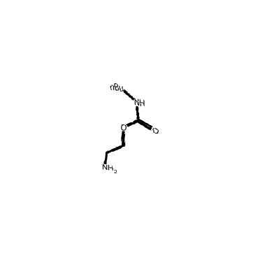 CCCCNC(=O)OCCN